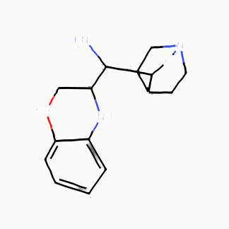 NC(C1COc2ccccc2N1)C1CN2CCC1CC2